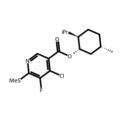 CSc1ncc(C(=O)O[C@H]2C[C@@H](C)CC[C@@H]2C(C)C)c(Cl)c1F